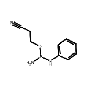 N#CCCOP(N)Nc1ccccc1